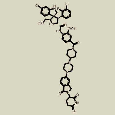 COc1cc(C(=O)N2CCC(N3CCN(c4ccc5c(c4)CN(C4CCC(=O)NC4=O)C5=O)CC3)CC2)ccc1NC(=O)[C@@H]1N[C@@H](CC(C)(C)C)[C@@]2(CNc3cc(Cl)ccc32)[C@H]1c1cccc(Cl)c1F